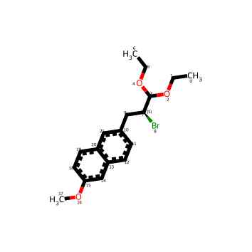 CCOC(OCC)[C@@H](Br)Cc1ccc2cc(OC)ccc2c1